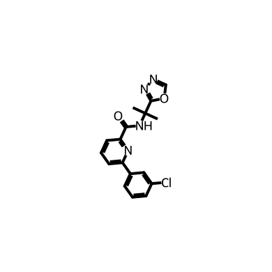 CC(C)(NC(=O)c1cccc(-c2cccc(Cl)c2)n1)c1nnco1